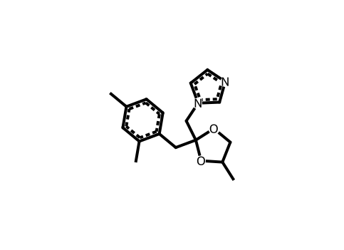 Cc1ccc(CC2(Cn3ccnc3)OCC(C)O2)c(C)c1